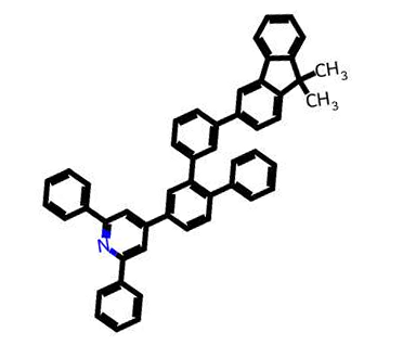 CC1(C)c2ccccc2-c2cc(-c3cccc(-c4cc(-c5cc(-c6ccccc6)nc(-c6ccccc6)c5)ccc4-c4ccccc4)c3)ccc21